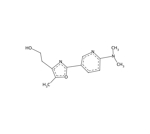 Cc1oc(-c2ccc(N(C)C)nc2)nc1CCO